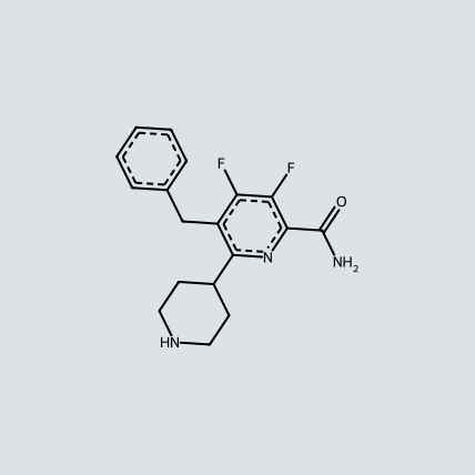 NC(=O)c1nc(C2CCNCC2)c(Cc2ccccc2)c(F)c1F